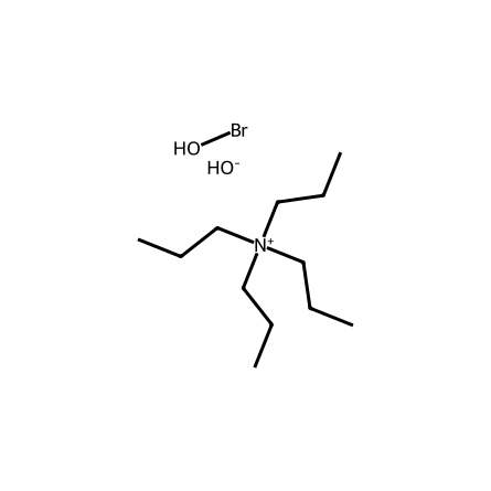 CCC[N+](CCC)(CCC)CCC.OBr.[OH-]